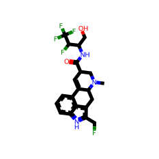 CN1CC(C(=O)NC(CO)C(F)C(F)(F)F)C=C2c3cccc4[nH]c(CF)c(c34)CC21